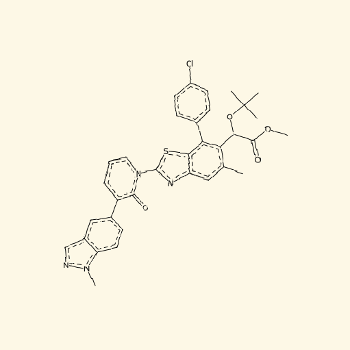 COC(=O)C(OC(C)(C)C)c1c(C)cc2nc(-n3cccc(-c4ccc5c(cnn5C)c4)c3=O)sc2c1-c1ccc(Cl)cc1